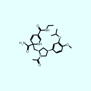 CCNC(=O)C1=CNC(C[C@H]2C[C@@H](c3ccc(OC)c(OC(C)C)c3)CN2C(C)=O)(C(N)=O)C=C1